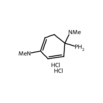 CNC1=CCC(P)(NC)C=C1.Cl.Cl